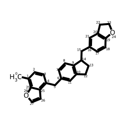 Cc1ccc(Cc2ccc3c(c2)CCC3Cc2ccc3c(c2)CCO3)c2ccoc12